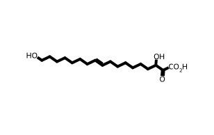 O=C(O)C(=O)C(O)CCCCCCC=CCCCCCCCO